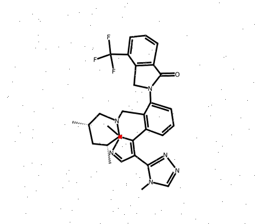 C[C@@H]1C[C@H](C)CN(Cc2c(-c3c(-c4nncn4C)cnn3C)cccc2N2Cc3c(cccc3C(F)(F)F)C2=O)C1